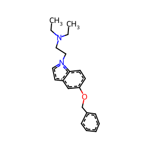 CCN(CC)CCn1ccc2cc(OCc3ccccc3)ccc21